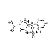 O=C(O)C(Br)C[C@H](NS(=O)(=O)Nc1ccccc1)C(=O)O